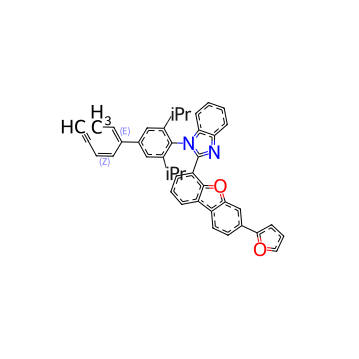 C#C/C=C\C(=C/C)c1cc(C(C)C)c(-n2c(-c3cccc4c3oc3cc(-c5ccco5)ccc34)nc3ccccc32)c(C(C)C)c1